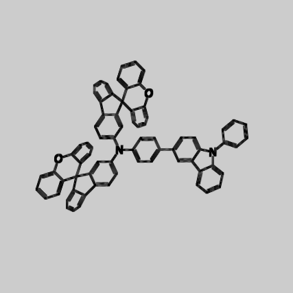 c1ccc(-n2c3ccccc3c3cc(-c4ccc(N(c5ccc6c(c5)C5(c7ccccc7Oc7ccccc75)c5ccccc5-6)c5ccc6c(c5)C5(c7ccccc7Oc7ccccc75)c5ccccc5-6)cc4)ccc32)cc1